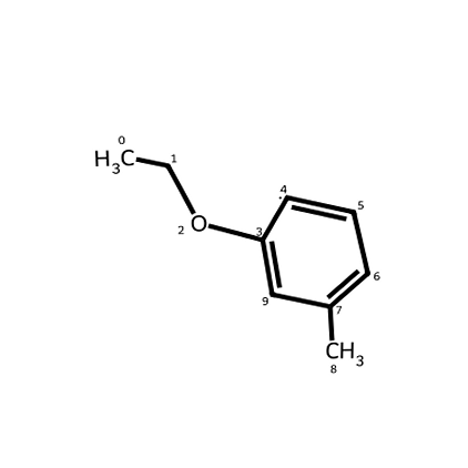 CCOc1[c]ccc(C)c1